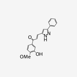 COc1ccc(C(=O)C=Cc2cc(-c3ccccc3)n[nH]2)cc1O